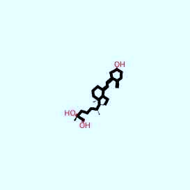 C=C1CC[C@H](O)C/C1=C/C=C1CCC[C@@]2(C)C1CC[C@@H]2[C@H](C)CCC[C@@](C)(O)CO